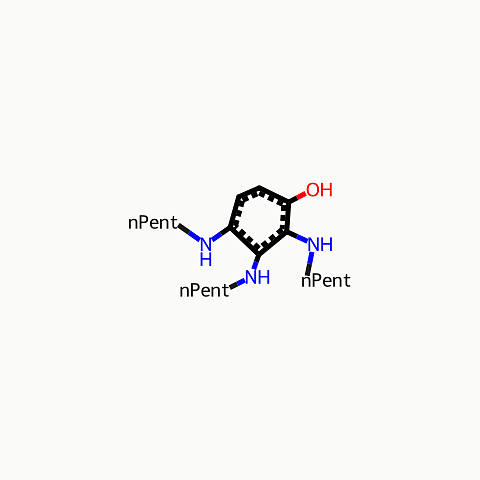 CCCCCNc1ccc(O)c(NCCCCC)c1NCCCCC